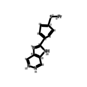 CC(C)Sc1ccc(-c2nc3cnncc3[nH]2)cc1